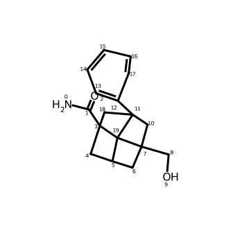 NC(=O)C12CC3CC4(CO)CC(c5ccccc5)(C1)C342